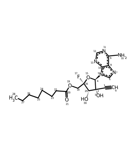 C#C[C@]1(O)[C@H](n2cnc3c(N)ncnc32)O[C@](F)(COC(=O)CCCCCCC)[C@H]1O